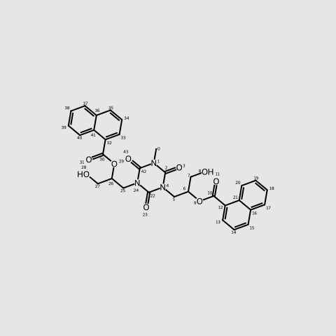 Cn1c(=O)n(CC(CO)OC(=O)c2cccc3ccccc23)c(=O)n(CC(CO)OC(=O)c2cccc3ccccc23)c1=O